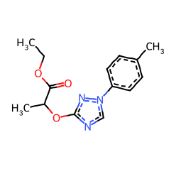 CCOC(=O)C(C)Oc1ncn(-c2ccc(C)cc2)n1